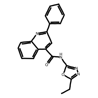 CCc1nnc(NC(=O)c2cc(-c3ccccc3)nc3ccccc23)o1